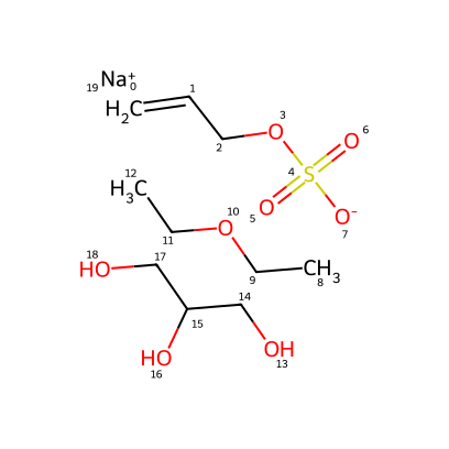 C=CCOS(=O)(=O)[O-].CCOCC.OCC(O)CO.[Na+]